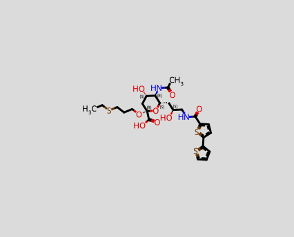 CCSCCCO[C@]1(C(=O)O)C[C@H](O)[C@@H](NC(C)=O)[C@H](C[C@H](O)CNC(=O)c2ccc(-c3cccs3)s2)O1